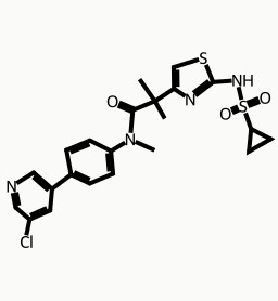 CN(C(=O)C(C)(C)c1csc(NS(=O)(=O)C2CC2)n1)c1ccc(-c2cncc(Cl)c2)cc1